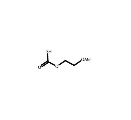 COCCOC(=O)S